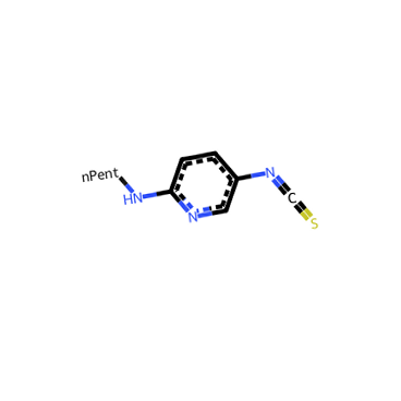 CCCCCNc1ccc(N=C=S)cn1